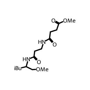 CCC(C)C(COC)NC(=O)CCNC(=O)CCC(=O)OC